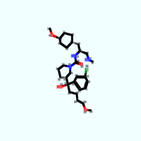 CNC[C@H](C[C@H]1CC[C@H](OC)CC1)NC(=O)N1CCC[C@@H]([C@@](O)(CCCCOC)c2cccc(Cl)c2)C1